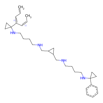 C=C/C=C(\C=C/C)C1(NCCCCNCC2CC2CNCCCCNC2(c3ccccc3)CC2)CC1